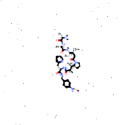 CC[C@H](C)[C@@H]([C@@H](CC(=O)N1CCC[C@H]1[C@H](OC)[C@@H](C)C(=O)N[C@@H](Cc1ccccn1)C(=O)NCc1ccc(NSI)cc1)OC)N(C)C(=O)[C@@H](NC(=O)[C@H](C(C)C)N(C)C)C(C)C